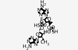 C=C[C@@H]1[C@H](F)[C@@H](COP(=O)(S)O[C@H]2[C@@H](F)[C@H](n3cnc4c(N)ncnc43)OC23C[C@H]3O[P@](=O)(O)S)O[C@H]1n1cnc2c(N)ncnc21